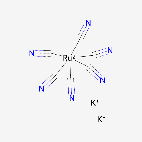 N#[C][Ru-2]([C]#N)([C]#N)([C]#N)([C]#N)[C]#N.[K+].[K+]